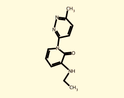 CCNc1cccn(-c2ccc(C)nn2)c1=O